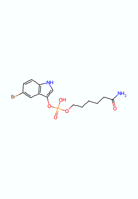 NC(=O)CCCCCOP(=O)(O)Oc1c[nH]c2ccc(Br)cc12